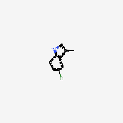 Cc1[c][nH]c2ccc(Cl)cc12